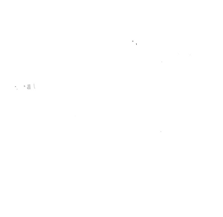 CC(=O)NC1CCc2cc(C3=NCC(c4cc(Cl)cc(Cl)c4)(C(F)(F)F)C3)ccc21